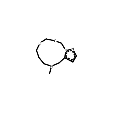 CN1CCCOCCCn2nccc2C1